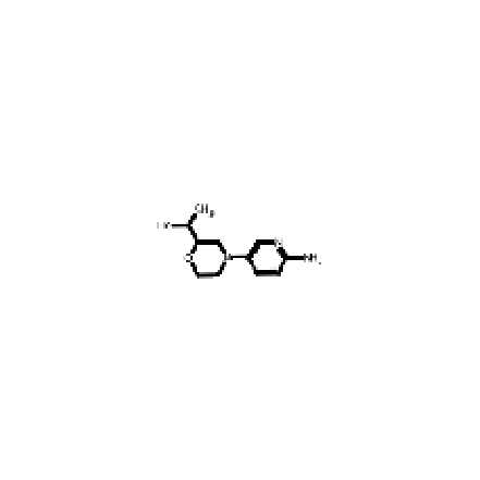 CC(O)C1CN(c2ccc(N)nc2)CCO1